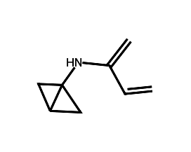 C=CC(=C)NC12CC1C2